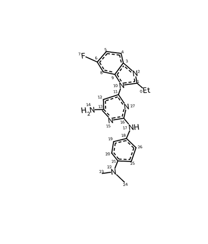 CCc1nc2ccc(F)cc2n1-c1cc(N)nc(Nc2ccc(N(C)C)cc2)n1